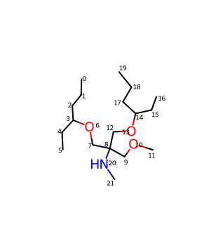 CCCC(CC)OCC(COC)(COC(CC)CCC)NC